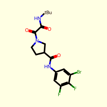 CC(C)(C)NC(=O)C(=O)N1CCC(C(=O)Nc2cc(F)c(F)c(Br)c2)C1